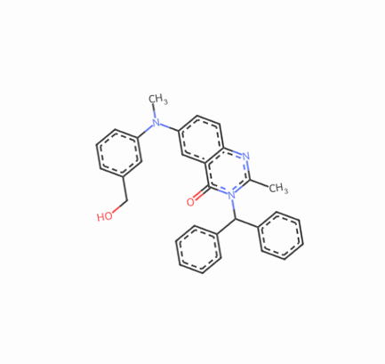 Cc1nc2ccc(N(C)c3cccc(CO)c3)cc2c(=O)n1C(c1ccccc1)c1ccccc1